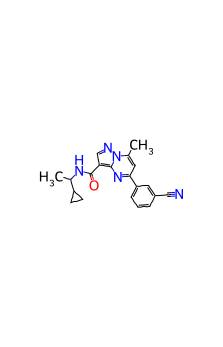 Cc1cc(-c2cccc(C#N)c2)nc2c(C(=O)NC(C)C3CC3)cnn12